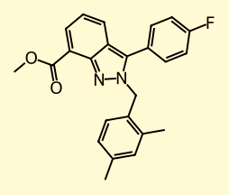 COC(=O)c1cccc2c(-c3ccc(F)cc3)n(Cc3ccc(C)cc3C)nc12